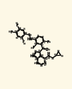 O=C(c1c(F)ccc(NSc2cc(F)c(F)cc2F)c1F)c1c[nH]c2ncnc(NCC3CC3)c12